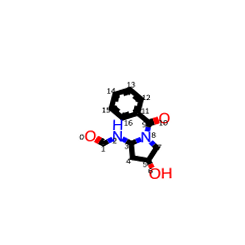 O=CNC1CC(O)CN1C(=O)c1ccccc1